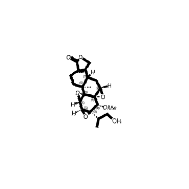 CO[C@@H]1[C@@]2(C(C)CO)O[C@H]2[C@@H]2O[C@]23[C@]12O[C@H]2C[C@H]1C2=C(CC[C@@]13C)C(=O)OC2